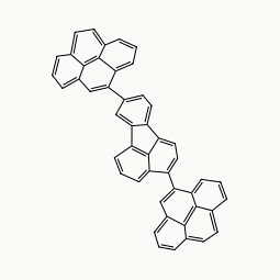 c1cc2ccc3cccc4c(-c5ccc6c(c5)-c5cccc7c(-c8cc9cccc%10ccc%11cccc8c%11c%109)ccc-6c57)cc(c1)c2c34